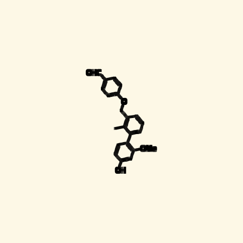 COc1cc(O)ccc1-c1cccc(COc2ccc(C=O)cc2)c1C